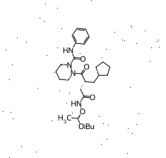 CC(C)COC(C)ONC(=O)C[C@@H](CC1CCCC1)C(=O)N1CCCCN1C(=O)Nc1ccccc1